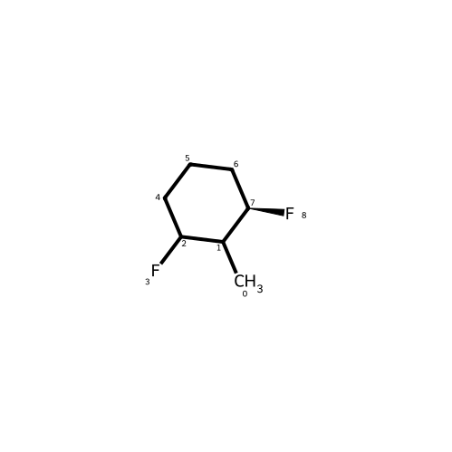 CC1C(F)CCC[C@H]1F